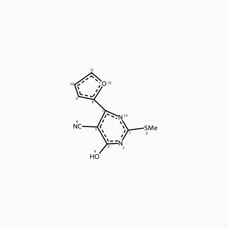 CSc1nc(O)c(C#N)c(-c2ccco2)n1